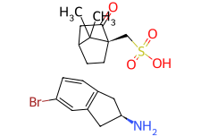 CC1(C)C2CC[C@@]1(CS(=O)(=O)O)C(=O)C2.N[C@@H]1Cc2ccc(Br)cc2C1